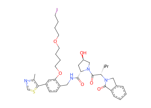 Cc1ncsc1-c1ccc(CNC(=O)[C@@H]2C[C@@H](O)CN2C(=O)[C@H](C(C)C)N2Cc3ccccc3C2=O)c(OCCCCOCCCCI)c1